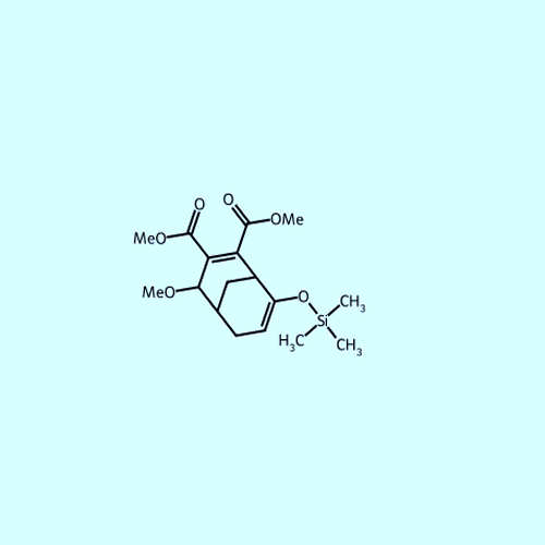 COC(=O)C1=C(C(=O)OC)C(OC)C2CC=C(O[Si](C)(C)C)C1C2